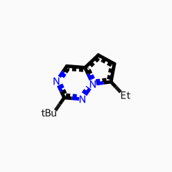 CCc1ccc2cnc(C(C)(C)C)nn12